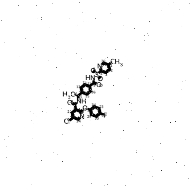 Cc1ccc(S(=O)(=O)NC(=O)c2ccc([C@H](C)NC(=O)c3cc(Cl)cnc3Oc3ccc(F)cc3)cc2)nc1